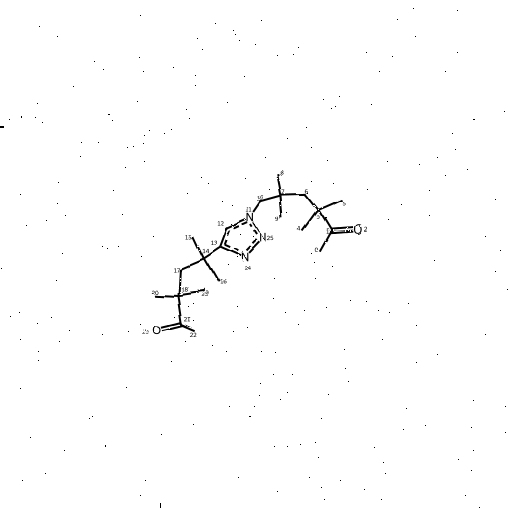 CC(=O)C(C)(C)CC(C)(C)Cn1cc(C(C)(C)CC(C)(C)C(C)=O)nn1